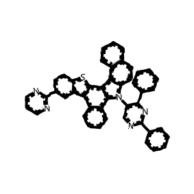 c1ccc(-c2ncc(-n3c4ccc5ccccc5c4c4c5sc6ccc(-c7ncccn7)cc6c5c5ccccc5c43)c(-c3ccccc3)n2)cc1